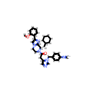 [C-]#[N+]c1ccc(Cn2cncc2CC(=O)N2CCn3cc(-c4ccccc4OC)nc3[C@@H]2CC2CCCCC2)cc1